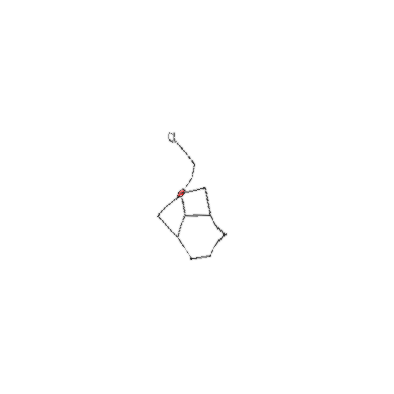 ClCOC1C2CCCC1CCC2